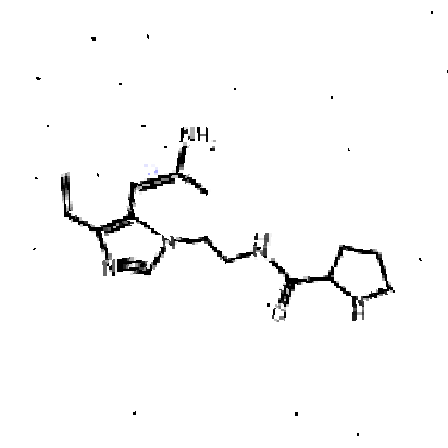 C=Cc1ncn(CCNC(=O)C2CCCN2)c1/C=C(\C)N